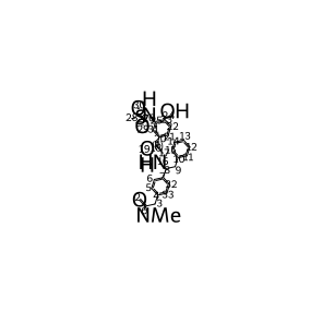 CNC(=O)Cc1ccc(C(Cc2ccccc2)NC[C@H](O)c2ccc(O)c(NS(C)(=O)=O)c2)cc1